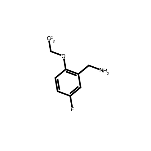 NCc1cc(F)ccc1OCC(F)(F)F